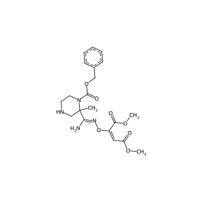 COC(=O)C=C(O/N=C(\N)C1(C)CNCCN1C(=O)OCc1ccccc1)C(=O)OC